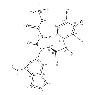 CSc1cc(N2C(=O)N(C(=O)OC(C)(C)C)C[C@H]2C(=O)N(C)c2ccc(F)c(Cl)c2F)nc2scnc12